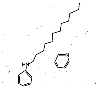 CCCCCCCCCCCCNc1ccccc1.c1ccncc1